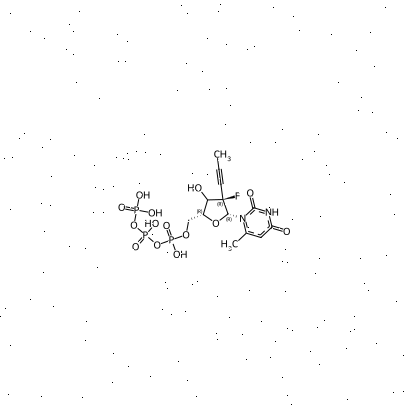 CC#C[C@@]1(F)C(O)[C@@H](COP(=O)(O)OP(=O)(O)OP(=O)(O)O)O[C@H]1n1c(C)cc(=O)[nH]c1=O